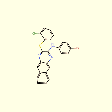 Clc1ccccc1Sc1nc2cc3ccccc3cc2nc1Nc1ccc(Br)cc1